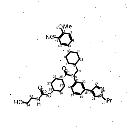 COc1ccc([C@H]2CC[C@H](CN(c3cccc(-c4cnn(C(C)C)c4)c3)C(=O)[C@H]3CC[C@H](OC(=O)NCCO)CC3)CC2)cc1C#N